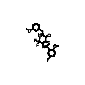 COc1cccc(CNC(=O)c2sc(-c3cc(F)ccc3OC)nc2C(F)(F)F)c1